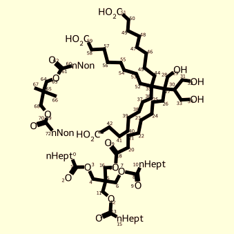 CCCCCCCC(=O)OCC(COC(=O)CCCCCCC)(COC(=O)CCCCCCC)COC(=O)CCCCCCCC(CO)(C(CO)CO)C(CCCCCCCC(=O)O)(CCCCCCCC(=O)O)CCCCCCCC(=O)O.CCCCCCCCCC(=O)OCC(C)(C)COC(=O)CCCCCCCCC